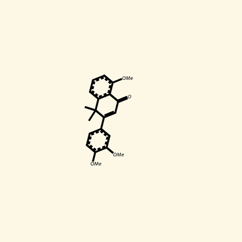 COc1ccc(C2=CC(=O)c3c(OC)cccc3C2(C)C)cc1OC